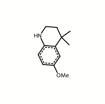 COc1ccc2c(c1)C(C)(C)CCN2